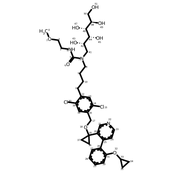 COCCNC(=O)N(CCCCc1cc(Cl)c(COC2(c3cnccc3-c3ccccc3OC3CC3)CC2)cc1Cl)C[C@H](O)[C@@H](O)[C@H](O)[C@H](O)CO